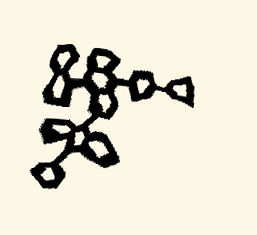 c1ccc(-c2ccc(-c3c4ccccc4c(-c4cccc5ccccc45)c4cc(-c5c6ccccc6c(-c6ccccc6)c6ccccc56)ccc34)cc2)cc1